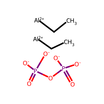 C[CH2][Al+2].C[CH2][Al+2].O=P([O-])([O-])OP(=O)([O-])[O-]